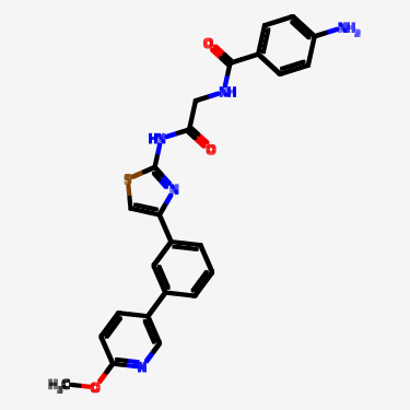 COc1ccc(-c2cccc(-c3csc(NC(=O)CNC(=O)c4ccc(N)cc4)n3)c2)cn1